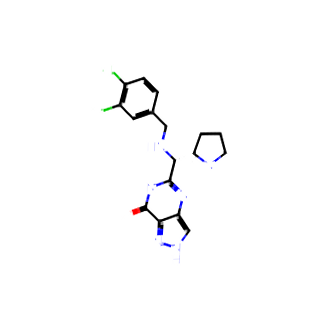 O=c1[nH]c(C(NCc2ccc(Cl)c(Cl)c2)[C@@H]2CCCN2)nc2c[nH]nc12